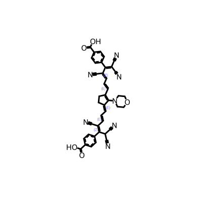 N#CC(C#N)=C(/C(C#N)=C/C=C/C1=C(N2CCOCC2)C(=C/C=C/C(C#N)=C(/c2ccc(C(=O)O)cc2)C(C#N)C#N)/CC1)c1ccc(C(=O)O)cc1